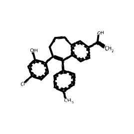 C=C(O)c1ccc2c(c1)CCCC(c1ccc(Cl)cc1O)=C2c1ccc(C)cc1